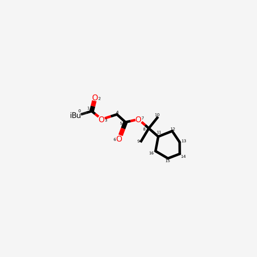 CCC(C)C(=O)OCC(=O)OC(C)(C)C1CCCCC1